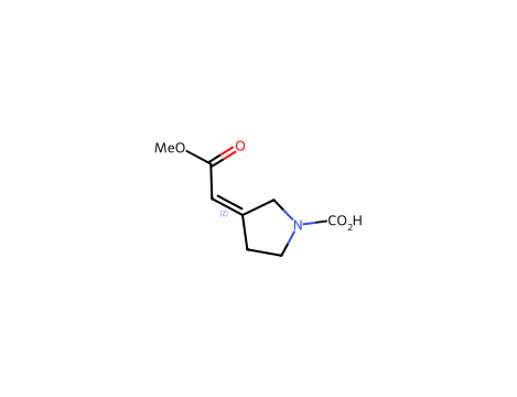 COC(=O)/C=C1/CCN(C(=O)O)C1